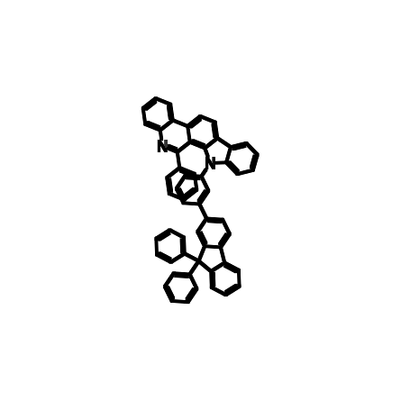 c1ccc(-c2nc3ccccc3c3ccc4c5ccccc5n(-c5cccc(-c6ccc7c(c6)C(c6ccccc6)(c6ccccc6)c6ccccc6-7)c5)c4c23)cc1